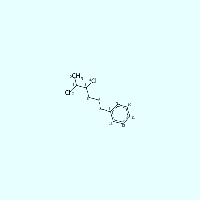 CC(Cl)C(Cl)CCCc1[c]cccc1